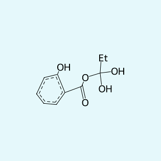 CCC(O)(O)OC(=O)c1ccccc1O